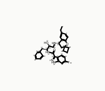 CCc1ccc2c(c1)[C@@H](NC[C@H](O)[C@H](Cc1ccccc1)NC(=O)c1n[nH]c3cc(F)ccc13)CC1(CCC1)O2